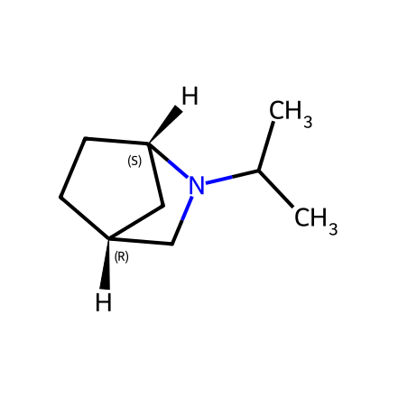 CC(C)N1C[C@@H]2CC[C@H]1C2